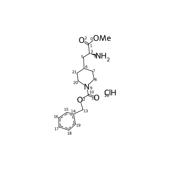 COC(=O)[C@@H](N)CC1CCN(C(=O)OCc2ccccc2)CC1.Cl